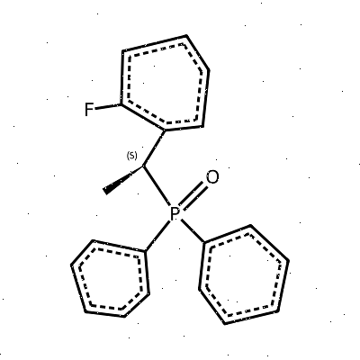 C[C@@H](c1ccccc1F)P(=O)(c1ccccc1)c1ccccc1